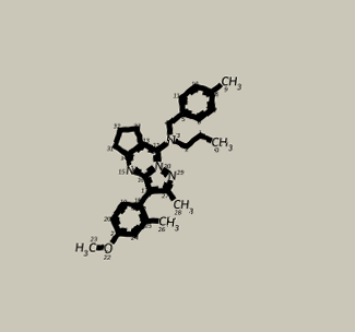 CCCN(Cc1ccc(C)cc1)c1c2c(nc3c(-c4ccc(OC)cc4C)c(C)nn13)CCC2